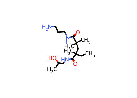 CCC(C)(CC(C)(C)C(=O)NCCCN)C(=O)NCC(C)O